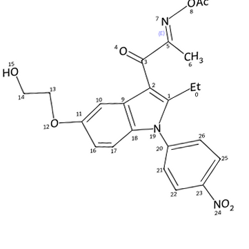 CCc1c(C(=O)/C(C)=N/OC(C)=O)c2cc(OCCO)ccc2n1-c1ccc([N+](=O)[O-])cc1